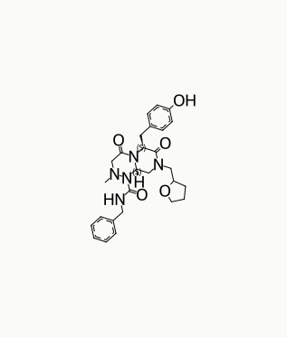 CN1CC(=O)N2[C@@H](Cc3ccc(O)cc3)C(=O)N(CC3CCCO3)C[C@@H]2N1C(=O)NCc1ccccc1